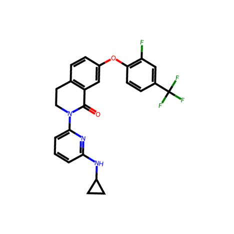 O=C1c2cc(Oc3ccc(C(F)(F)F)cc3F)ccc2CCN1c1cccc(NC2CC2)n1